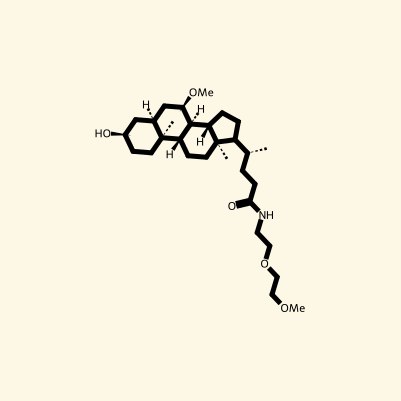 COCCOCCNC(=O)CC[C@@H](C)C1CC[C@H]2[C@@H]3[C@H](OC)C[C@@H]4C[C@H](O)CC[C@]4(C)[C@H]3CC[C@]12C